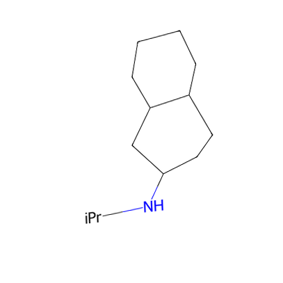 CC(C)NC1CCC2CCCCC2C1